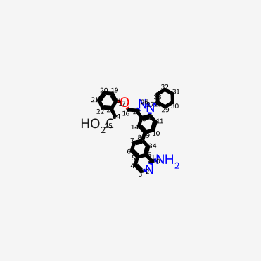 Nc1nccc2ccc(-c3ccc4c(c3)c(COc3ccccc3CC(=O)O)nn4C3CCCCC3)cc12